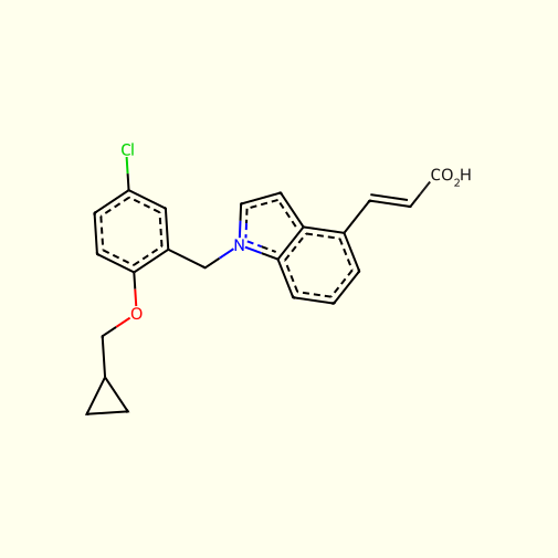 O=C(O)C=Cc1cccc2c1ccn2Cc1cc(Cl)ccc1OCC1CC1